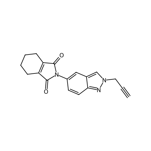 C#CCn1cc2cc(N3C(=O)C4=C(CCCC4)C3=O)ccc2n1